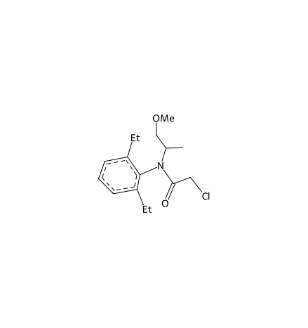 CCc1cccc(CC)c1N(C(=O)CCl)C(C)COC